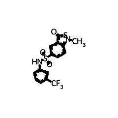 Cn1sc(=O)c2cc(S(=O)(=O)Nc3cccc(C(F)(F)F)c3)ccc21